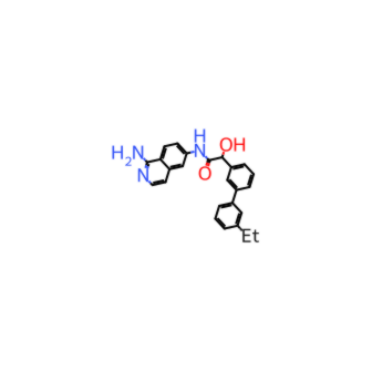 CCc1cccc(-c2cccc(C(O)C(=O)Nc3ccc4c(N)nccc4c3)c2)c1